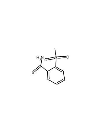 CS(=O)(=O)c1ccccc1C(N)=S